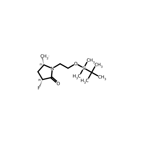 [CH2][C@H]1C[C@@H](F)C(=O)N1CCO[Si](C)(C)C(C)(C)C